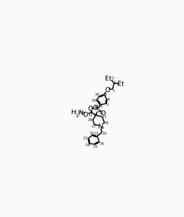 CCC(CC)COc1ccc(S(=O)(=O)C2(C(=O)ON)CCN(Cc3ccccc3)CC2)cc1